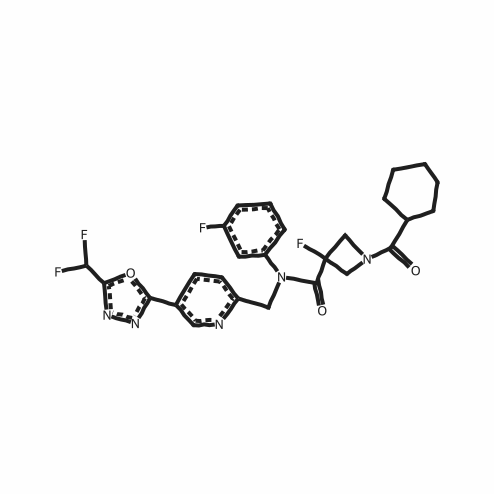 O=C(C1CCCCC1)N1CC(F)(C(=O)N(Cc2ccc(-c3nnc(C(F)F)o3)cn2)c2cccc(F)c2)C1